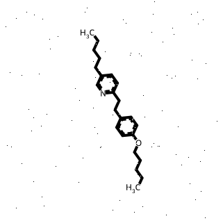 CCCCCOc1ccc(CCc2ccc(CCCCC)cn2)cc1